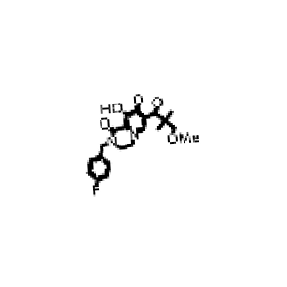 COCC(C)(C)C(=O)c1cn2c(c(O)c1=O)C(=O)N(Cc1ccc(F)cc1)CC2